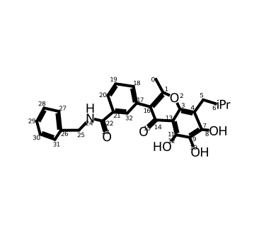 Cc1oc2c(CC(C)C)c(O)c(O)c(O)c2c(=O)c1-c1cccc(C(=O)NCc2ccccc2)c1